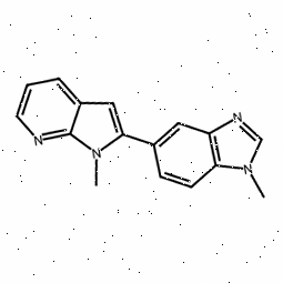 Cn1cnc2cc(-c3cc4cccnc4n3C)ccc21